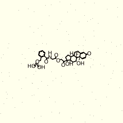 C[C@]12C=CC(=O)C=C1CC[C@H]1C3CCC(O)(C(=O)COC(=O)CNC(=O)c4ccccc4CON(O)O)[C@@]3(C)C[C@H](O)C12F